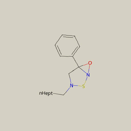 CCCCCCCCN1CC2(c3ccccc3)ON2S1